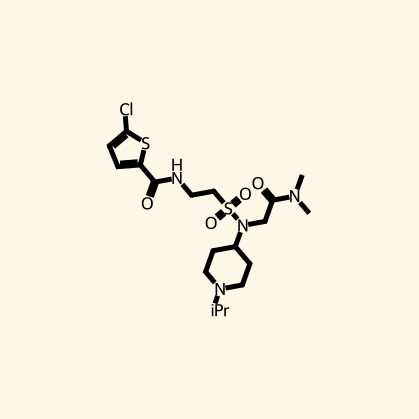 CC(C)N1CCC(N(CC(=O)N(C)C)S(=O)(=O)CCNC(=O)c2ccc(Cl)s2)CC1